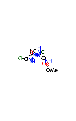 COCCOC(=O)Nc1ccc(-c2nc([C@H](C)NC(=O)C=Cc3cc(Cl)ccc3-n3cnnn3)[nH]c2Cl)cc1